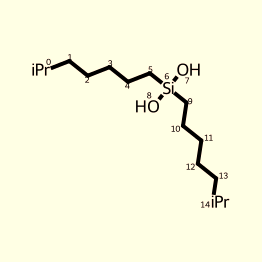 CC(C)CCCCC[Si](O)(O)CCCCCC(C)C